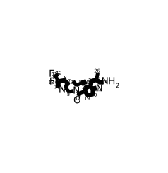 C#CC(C)N(Cc1ccc(C(F)(F)F)cn1)C(=O)c1ccc2nc(N)c(C)cc2c1